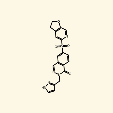 O=c1c2ccc(S(=O)(=O)c3cc4c(cn3)OCC4)cc2cnn1Cc1cc[nH]n1